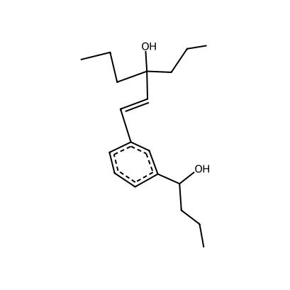 CCCC(O)c1cccc(/C=C/C(O)(CCC)CCC)c1